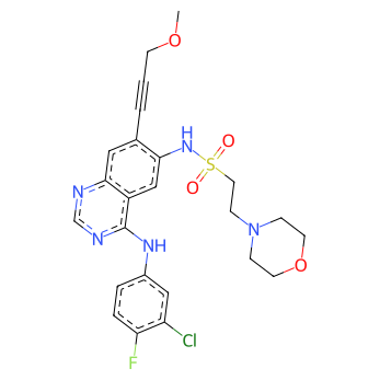 COCC#Cc1cc2ncnc(Nc3ccc(F)c(Cl)c3)c2cc1NS(=O)(=O)CCN1CCOCC1